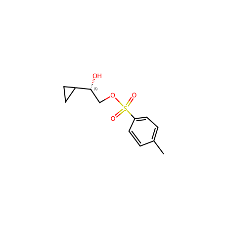 Cc1ccc(S(=O)(=O)OC[C@@H](O)C2CC2)cc1